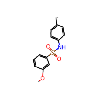 [CH2]c1ccc(NS(=O)(=O)c2cccc(OC)c2)cc1